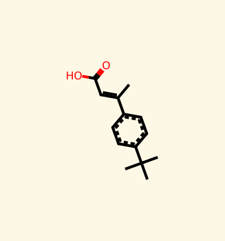 CC(=CC(=O)O)c1ccc(C(C)(C)C)cc1